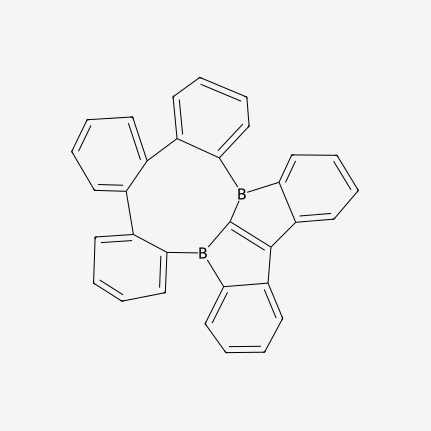 c1ccc2c(c1)B1C3=C2c2ccccc2B3c2ccccc2-c2ccccc2-c2ccccc21